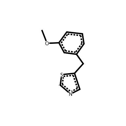 COc1cccc(Cc2cn[c]s2)c1